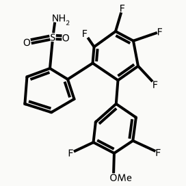 COc1c(F)cc(-c2c(F)c(F)c(F)c(F)c2-c2ccccc2S(N)(=O)=O)cc1F